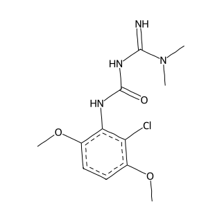 COc1ccc(OC)c(NC(=O)NC(=N)N(C)C)c1Cl